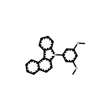 COc1cc(OC)cc(-n2c3ccccc3c3c4ccccc4ccc32)c1